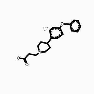 O=C([O-])CCN1CCC(c2ccc(Oc3ccccc3)cc2)CC1.[Li+]